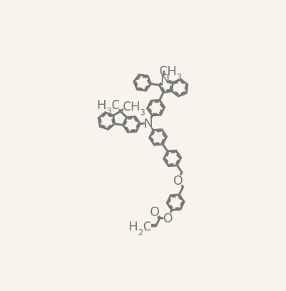 C=CC(=O)Oc1ccc(COCc2ccc(-c3ccc(N(c4ccc(-c5c(-c6ccccc6)n(C)c6ccccc56)cc4)c4ccc5c(c4)C(C)(C)c4ccccc4-5)cc3)cc2)cc1